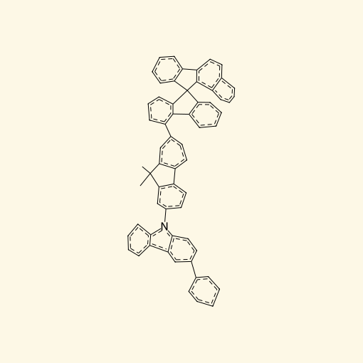 CC1(C)c2cc(-c3cccc4c3-c3ccccc3C43c4ccccc4-c4ccc5ccccc5c43)ccc2-c2ccc(-n3c4ccccc4c4cc(-c5ccccc5)ccc43)cc21